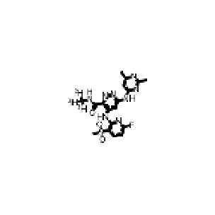 [2H]C([2H])([2H])NC(=O)c1nnc(Nc2cc(C)nc(C)n2)cc1Nc1nc(F)ccc1S(C)(=O)=O